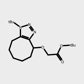 CC(C)(C)OC(=O)COC1CCCCCc2c1nnn2C(C)(C)C